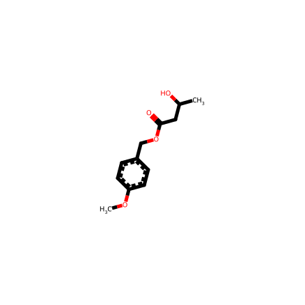 COc1ccc(COC(=O)CC(C)O)cc1